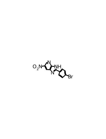 O=[N+]([O-])c1cnc2[nH]c(-c3ccc(Br)cc3)nc2c1